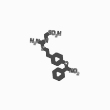 NC(=NCS(=O)(=O)O)SCCc1ccc(OC(c2ccccc2)[N+](=O)[O-])cc1